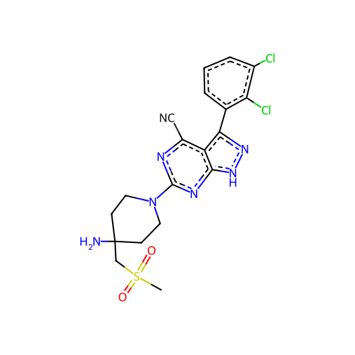 CS(=O)(=O)CC1(N)CCN(c2nc(C#N)c3c(-c4cccc(Cl)c4Cl)n[nH]c3n2)CC1